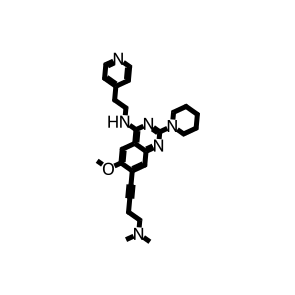 COc1cc2c(NCCc3ccncc3)nc(N3CCCCC3)nc2cc1C#CCCN(C)C